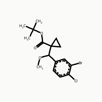 COC(c1ccc(Cl)c(Br)c1)C1(C(=O)OC(C)(C)C)CC1